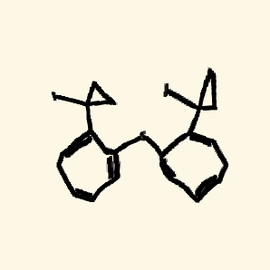 IC1(c2ccccc2Sc2ccccc2C2(I)CC2)CC1